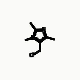 Cc1nc(C)n(C)c1CCl